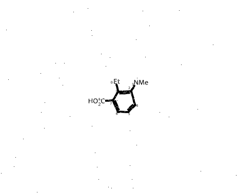 CCc1c(NC)cccc1C(=O)O